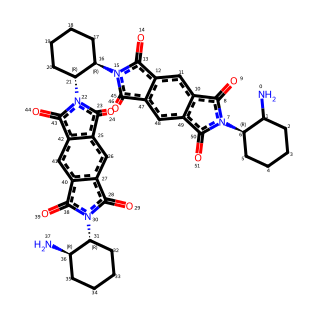 NC1CCCC[C@H]1n1c(=O)c2cc3c(=O)n([C@@H]4CCCC[C@H]4n4c(=O)c5cc6c(=O)n([C@@H]7CCCC[C@H]7N)c(=O)c6cc5c4=O)c(=O)c3cc2c1=O